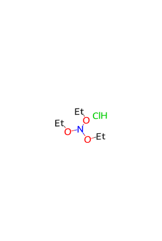 CCON(OCC)OCC.Cl